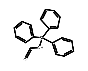 O=CN[Si](c1ccccc1)(c1ccccc1)c1ccccc1